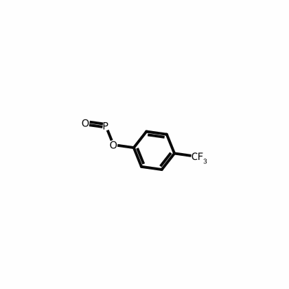 O=POc1ccc(C(F)(F)F)cc1